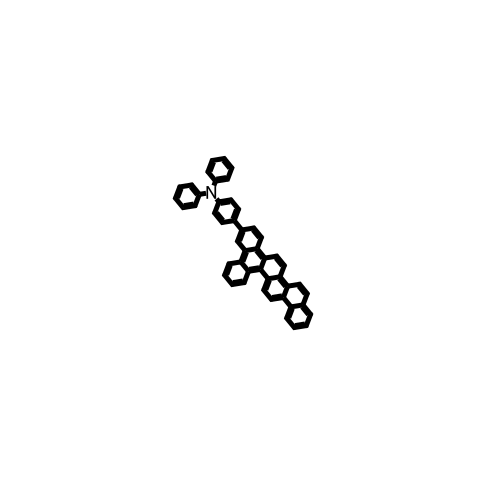 c1ccc(N(c2ccccc2)c2ccc(-c3ccc4c(c3)c3ccccc3c3c5ccc6c7ccccc7ccc6c5ccc43)cc2)cc1